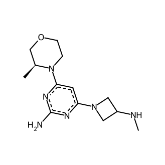 CNC1CN(c2cc(N3CCOC[C@@H]3C)nc(N)n2)C1